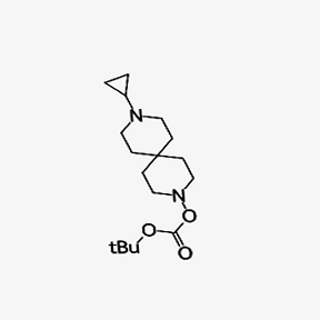 CC(C)(C)OC(=O)ON1CCC2(CC1)CCN(C1CC1)CC2